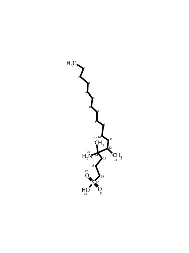 CCCCCCCCCCCCC(C)C(C)(N)CCCS(=O)(=O)O